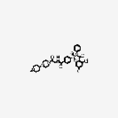 CN1CCC(N2CCN(C(=O)CNC(=O)c3ccc(S(=O)(=O)N(C(=O)c4ccc(Cl)cc4Cl)c4ccccc4)cc3)CC2)CC1